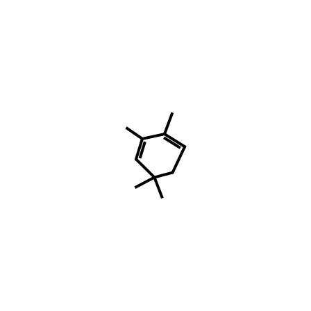 CC1=CCC(C)(C)C=C1C